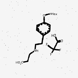 CCCCCCOc1ccc(CCNCCC(=O)O)cc1.O=C(O)C(F)(F)F